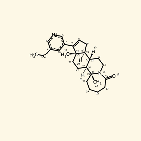 COc1cncc(C2=CC[C@H]3[C@@H]4CCN5C(=O)CCCC[C@]5(C)[C@H]4CC[C@]23C)c1